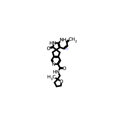 C=C/C=C\C1=C(N)NC(=O)C12Cc1cnc(C(=O)NCC3(C)CCCO3)cc1C2